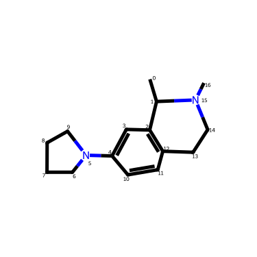 CC1c2cc(N3CCCC3)ccc2CCN1C